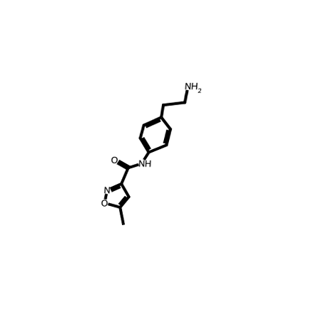 Cc1cc(C(=O)Nc2ccc(CCN)cc2)no1